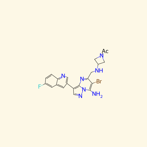 CC(=O)N1CC(NCc2nc3c(-c4cnc5ccc(F)cc5c4)cnn3c(N)c2Br)C1